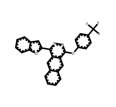 FC(F)(F)c1ccc(Oc2nnc(-c3cc4ccccc4o3)c3cc4ccccc4cc23)cc1